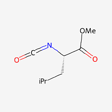 COC(=O)[C@H](CC(C)C)N=C=O